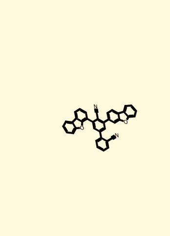 N#Cc1ccccc1-c1cc(-c2ccc3c(c2)oc2ccccc23)c(C#N)c(-c2cccc3c2oc2ccccc23)c1